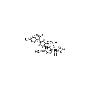 Cc1sc2cc(Cl)ccc2c1-c1ccc(N2CCO[C@@H](CNC3CCC3)C2)c(C(=O)O)c1.Cl